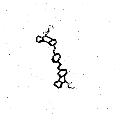 CCNC1c2ccccc2-c2cc(C=Cc3ccc(C=Cc4ccc5c(c4)-c4ccccc4C5NCC)cc3)ccc21